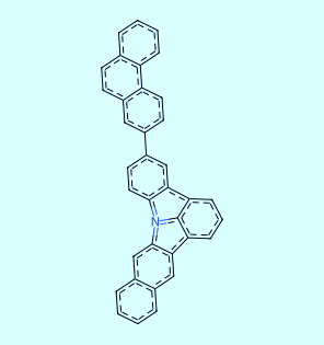 c1ccc2cc3c(cc2c1)c1cccc2c4cc(-c5ccc6c(ccc7ccccc76)c5)ccc4n3c21